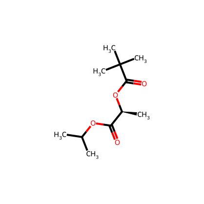 CC(C)OC(=O)[C@H](C)OC(=O)C(C)(C)C